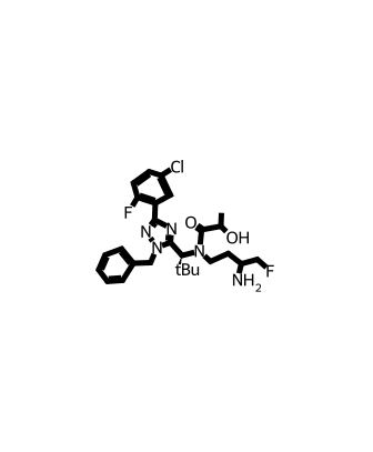 CC(O)C(=O)N(CCC(N)CF)[C@@H](c1nc(-c2cc(Cl)ccc2F)nn1Cc1ccccc1)C(C)(C)C